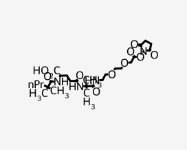 CCCC(C)(C)C(=O)NC(CCC(=O)NC(C)(C)C(=O)NCCOCCOCC(=O)ON1C(=O)CCC1=O)C(=O)O